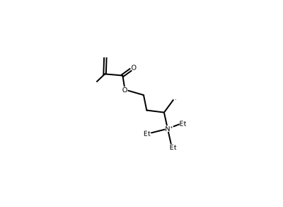 [CH2]C(CCOC(=O)C(=C)C)[N+](CC)(CC)CC